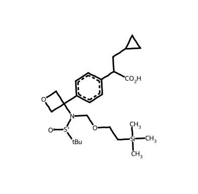 CC(C)(C)[S+]([O-])N(COCC[Si](C)(C)C)C1(c2ccc(C(CC3CC3)C(=O)O)cc2)COC1